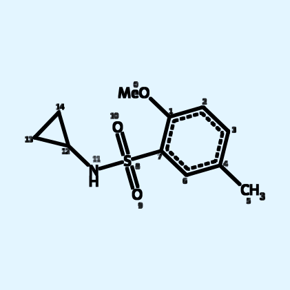 COc1ccc(C)cc1S(=O)(=O)NC1CC1